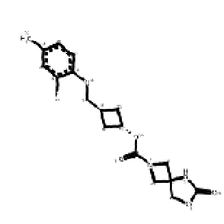 O=C1NC2(CO1)CN(C(=O)O[C@H]1C[C@H](COc3ccc(C(F)(F)F)cc3F)C1)C2